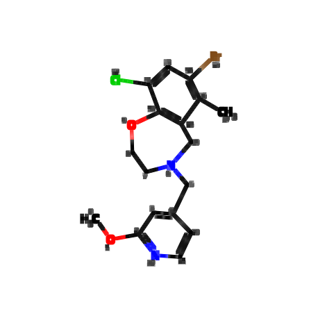 COc1cc(CN2CCOc3c(Cl)cc(Br)c(C)c3C2)ccn1